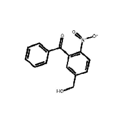 O=C(c1ccccc1)c1cc(CO)ccc1[N+](=O)[O-]